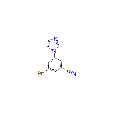 N#Cc1cc(Br)cc(-n2ccnc2)c1